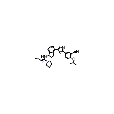 CC/C=C(\NC1CCc2c(-c3cnc(-c4ccc(OC(C)C)c(C#N)c4)s3)cccc21)N1CCCC1